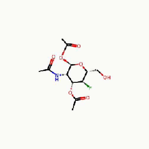 CC(=O)N[C@@H]1[C@@H](OC(C)=O)O[C@H](CO)[C@@H](F)[C@@H]1OC(C)=O